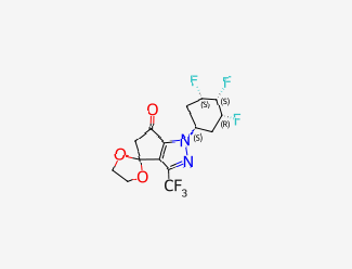 O=C1CC2(OCCO2)c2c(C(F)(F)F)nn([C@@H]3C[C@@H](F)[C@@H](F)[C@@H](F)C3)c21